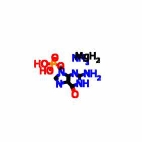 N.Nc1nc2c(ncn2OP(=O)(O)O)c(=O)[nH]1.[MgH2]